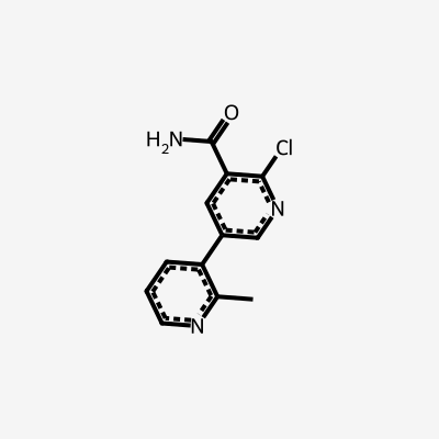 Cc1ncccc1-c1cnc(Cl)c(C(N)=O)c1